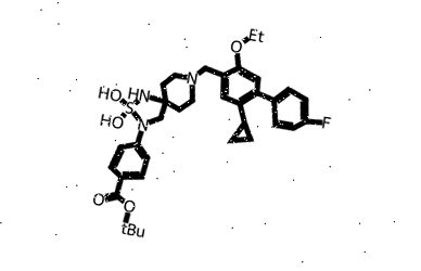 CCOc1cc(-c2ccc(F)cc2)c(C2CC2)cc1CN1CCC2(CC1)CN(c1ccc(C(=O)OC(C)(C)C)cc1)S(O)(O)N2